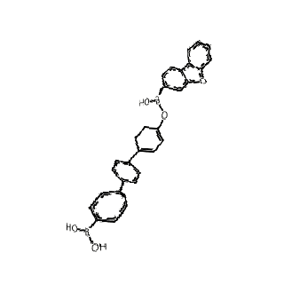 OB(O)c1ccc(-c2ccc(C3=CC=C(OB(O)c4ccc5c(c4)oc4ccccc45)CC3)cc2)cc1